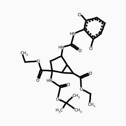 CCOC(=O)C1C2C(NC(=O)Nc3c(Cl)cccc3Cl)CC(NC(=O)OC(C)(C)C)(C(=O)OCC)C12